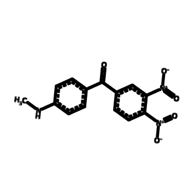 CNc1ccc(C(=O)c2ccc([N+](=O)[O-])c([N+](=O)[O-])c2)cc1